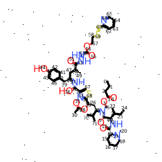 CCCC(=O)OCN(C(=O)[C@@H](NC(=O)[C@H]1CCCCN1C)C(C)CC)[C@H](C[C@@H](OC(C)=O)c1nc(C(O)N[C@@H](Cc2ccc(O)cc2)C[C@H](C)C(=O)NNC(=O)OCCSSc2ccccn2)cs1)C(C)C